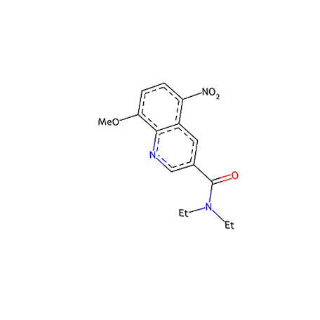 CCN(CC)C(=O)c1cnc2c(OC)ccc([N+](=O)[O-])c2c1